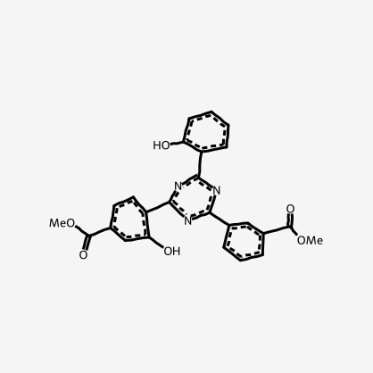 COC(=O)c1cccc(-c2nc(-c3ccccc3O)nc(-c3ccc(C(=O)OC)cc3O)n2)c1